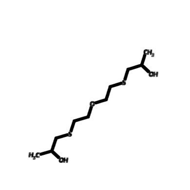 CC(O)CSCCOCCSCC(C)O